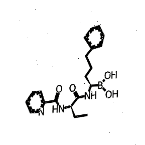 CC[C@@H](NC(=O)c1ccccn1)C(=O)N[C@@H](CCCc1ccccc1)B(O)O